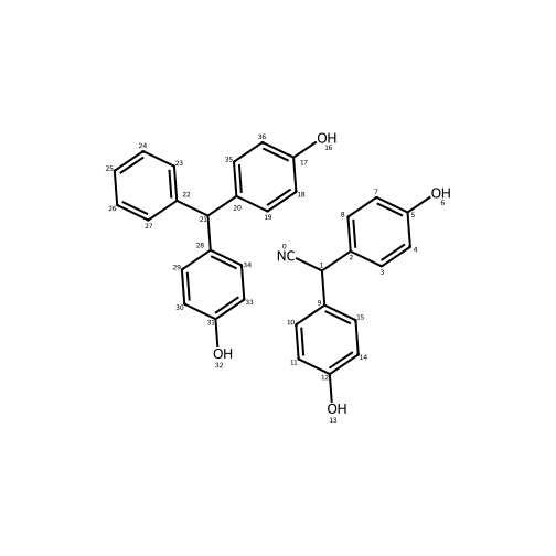 N#CC(c1ccc(O)cc1)c1ccc(O)cc1.Oc1ccc(C(c2ccccc2)c2ccc(O)cc2)cc1